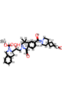 CC(C)(C)OC(=O)N1Cc2ccccc2C[C@@H]1[C@@H](O)CN1CC(C)(C)c2cc(C(=O)N3CCC4(CC3)CC(=C=O)C4)ccc2C1=C=O